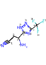 N#CCC(N)c1nc(C(F)(F)F)n[nH]1